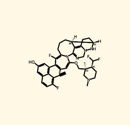 C#Cc1c(F)ccc2cc(O)cc(C3=C(F)C=C(OC[C@]4(C)CN(C)CC[C@@H]4C(F)F)N4C5=NCN6N[C@H]7CCC6=C5[C@H]7CCCC4=C3F)c12